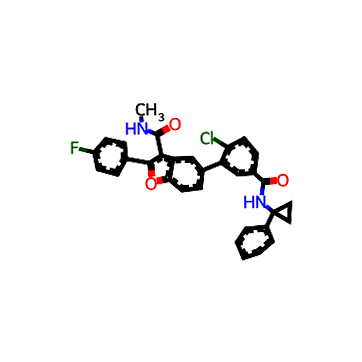 CNC(=O)c1c(-c2ccc(F)cc2)oc2ccc(-c3cc(C(=O)NC4(c5ccccc5)CC4)ccc3Cl)cc12